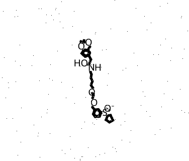 CC1(C)OCc2cc(CC(O)NCCCCCCOCCOCc3cccc([S+]([O-])C4CCCC4)c3)ccc2O1